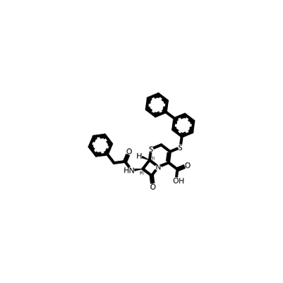 O=C(Cc1ccccc1)N[C@@H]1C(=O)N2C(C(=O)O)=C(Sc3cccc(-c4ccccc4)c3)CS[C@@H]12